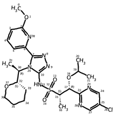 COc1cccc(-c2nnc(NS(=O)(=O)[C@@H](C)[C@H](OC(C)C)c3ncc(Cl)cn3)n2[C@H](C)[C@@H]2CCCCO2)n1